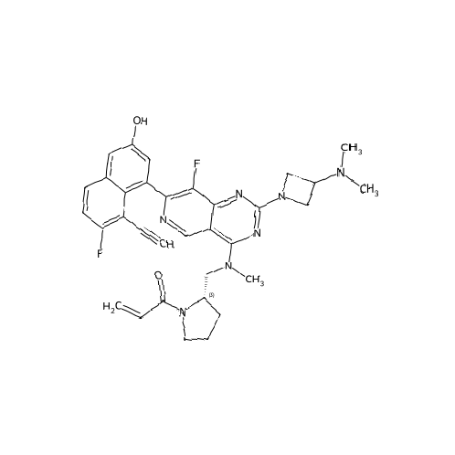 C#Cc1c(F)ccc2cc(O)cc(-c3ncc4c(N(C)C[C@@H]5CCCN5C(=O)C=C)nc(N5CC(N(C)C)C5)nc4c3F)c12